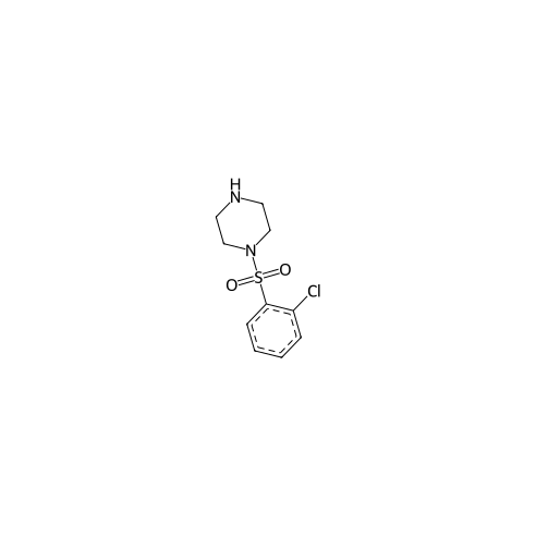 O=S(=O)(c1ccccc1Cl)N1CCNCC1